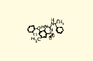 Cc1cc(Oc2ccccc2Cl)c2c(c1)S(=O)(=O)N=C(NC(C)c1ccccc1)N2